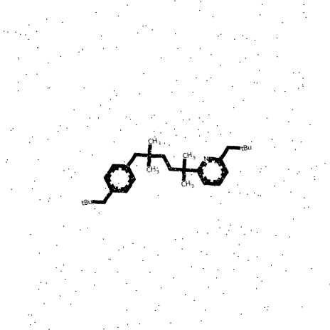 CC(C)(C)Cc1ccc(CC(C)(C)CCC(C)(C)c2cccc(CC(C)(C)C)n2)cc1